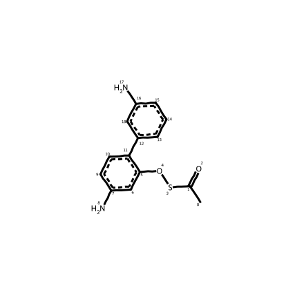 CC(=O)SOc1cc(N)ccc1-c1cccc(N)c1